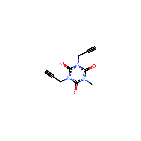 C#CCn1c(=O)n(C)c(=O)n(CC#C)c1=O